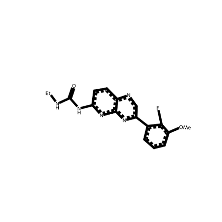 CCNC(=O)Nc1ccc2ncc(-c3cccc(OC)c3F)nc2n1